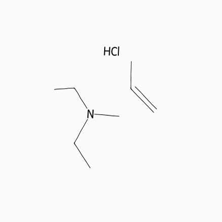 C=CC.CCN(C)CC.Cl